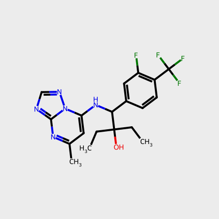 CCC(O)(CC)C(Nc1cc(C)nc2ncnn12)c1ccc(C(F)(F)F)c(F)c1